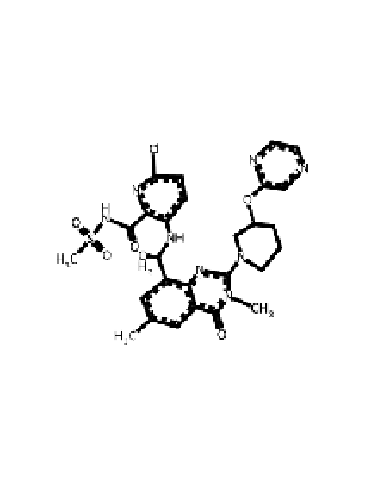 Cc1cc([C@@H](C)Nc2ccc(Cl)nc2C(=O)NS(C)(=O)=O)c2nc(N3CCC[C@H](Oc4cnccn4)C3)n(C)c(=O)c2c1